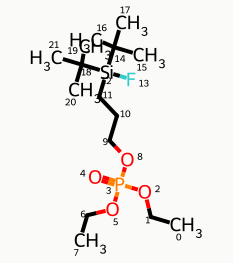 CCOP(=O)(OCC)OCCC[Si](F)(C(C)(C)C)C(C)(C)C